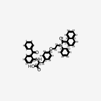 O=C(c1ccccc1)c1ccccc1N[C@@H](Cc1ccc(OCCN(C(=O)c2cccc3ccccc23)c2ccccc2)cc1)C(=O)O